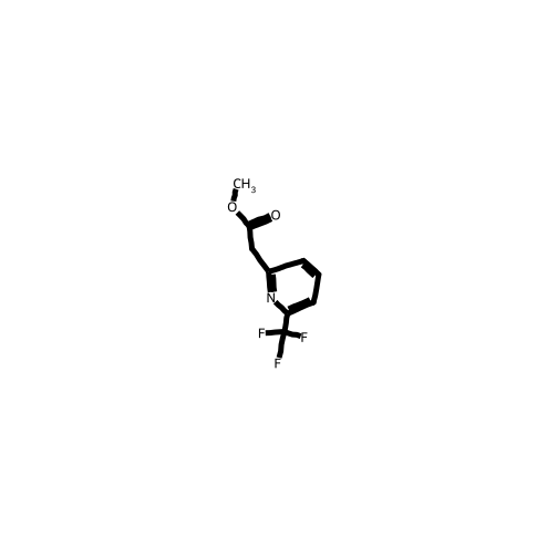 COC(=O)Cc1cccc(C(F)(F)F)n1